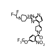 O=C(c1ccc(OC(F)(F)F)cc1[N+](=O)[O-])N1CC=C(c2ccnc3[nH]c(C4CCN(CC(F)F)CC4)nc23)CC1